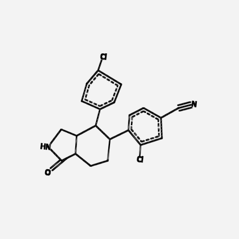 N#Cc1ccc(C2CCC3C(=O)NCC3C2c2ccc(Cl)cc2)c(Cl)c1